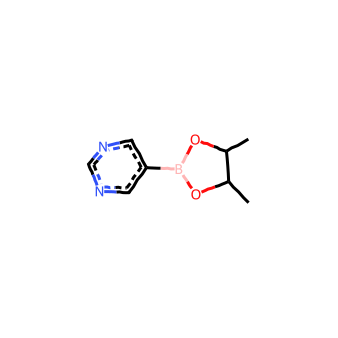 CC1OB(c2cncnc2)OC1C